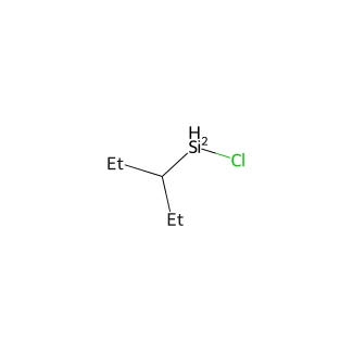 CCC(CC)[SiH2]Cl